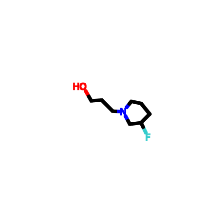 OCCCN1CCCC(F)C1